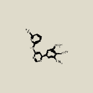 COc1c(C)cc(-c2cc(Nc3cccc(C(F)(F)F)n3)ncn2)cc1C(=O)O